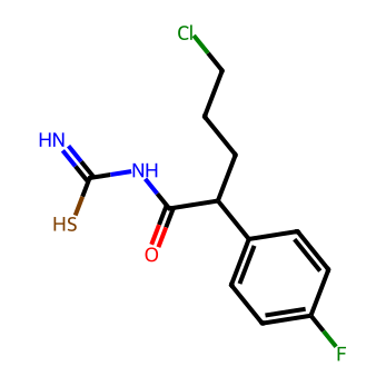 N=C(S)NC(=O)C(CCCCl)c1ccc(F)cc1